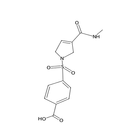 CNC(=O)C1=CCN(S(=O)(=O)c2ccc(C(=O)O)cc2)C1